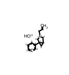 C=CCN1CC2CC2(c2ccccc2)C1.Cl